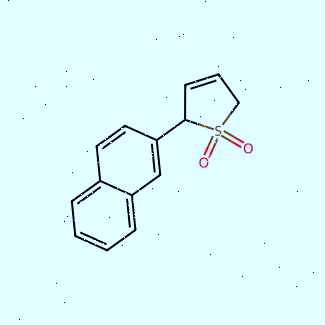 O=S1(=O)CC=CC1c1ccc2ccccc2c1